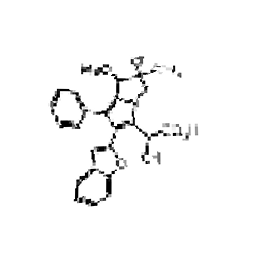 COC1c2c(-c3ccccc3)c(-c3cc4ccccc4o3)c(C(O)C(=O)O)n2CC1(C)C